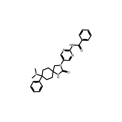 CN(C)C1(c2ccccc2)CCC2(CC1)CN(c1cnc(NC(=O)c3ccccc3)nc1)C(=O)N2